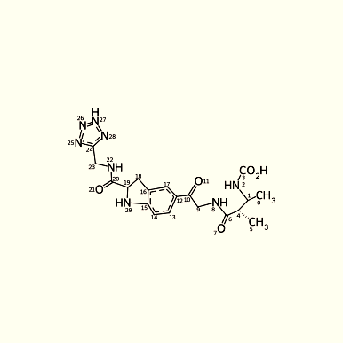 CC(NC(=O)O)[C@H](C)C(=O)NCC(=O)c1ccc2c(c1)CC(C(=O)NCc1nn[nH]n1)N2